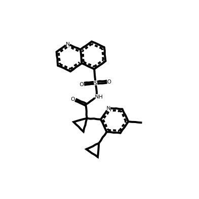 Cc1cnc(C2(C(=O)NS(=O)(=O)c3cccc4ncccc34)CC2)c(C2CC2)c1